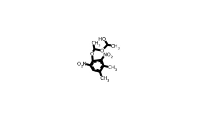 Cc1cc([N+](=O)[O-])c(OC(C)OC(C)O)c([N+](=O)[O-])c1C